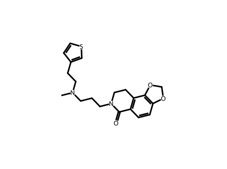 CN(CCCN1CCc2c(ccc3c2OCO3)C1=O)CCc1ccsc1